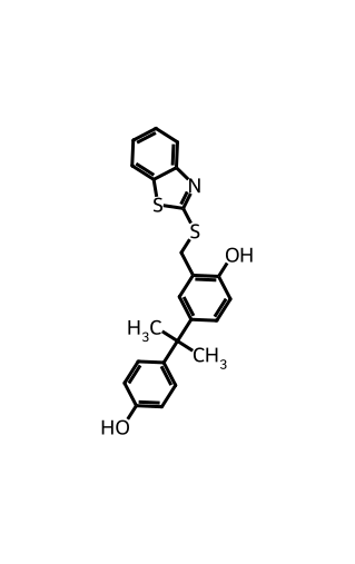 CC(C)(c1ccc(O)cc1)c1ccc(O)c(CSc2nc3ccccc3s2)c1